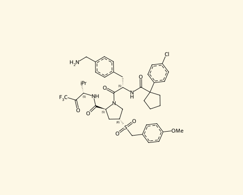 COc1ccc(CS(=O)(=O)[C@@H]2C[C@@H](C(=O)N[C@H](C(=O)C(F)(F)F)C(C)C)N(C(=O)[C@H](Cc3ccc(CN)cc3)NC(=O)C3(c4ccc(Cl)cc4)CCCC3)C2)cc1